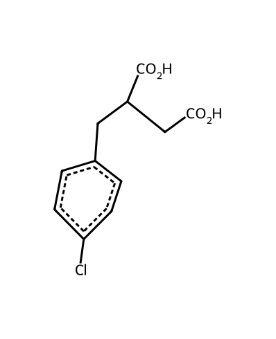 O=C(O)CC(Cc1ccc(Cl)cc1)C(=O)O